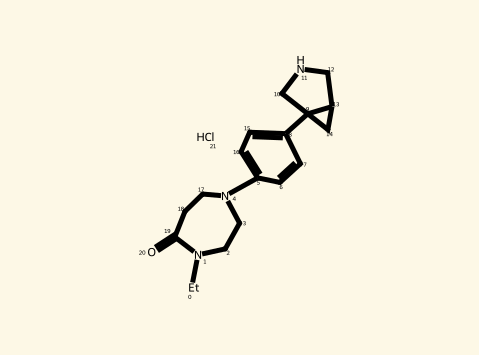 CCN1CCN(c2ccc(C34CNCC3C4)cc2)CCC1=O.Cl